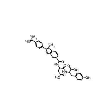 Cn1c(-c2ccc(C(=N)N)cc2)nc2cc(C(=O)NC(CC(=O)O)C(=O)NC(Cc3ccc(O)cc3)C(=O)O)ccc21